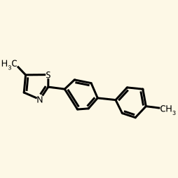 Cc1ccc(-c2ccc(-c3ncc(C)s3)cc2)cc1